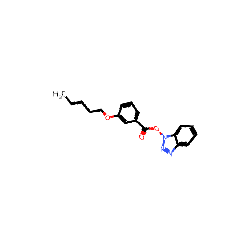 CCCCCOc1cccc(C(=O)On2nnc3ccccc32)c1